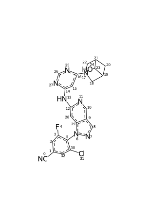 N#Cc1cc(F)c(-n2ncc3cnc(Nc4cc(N5CC6CC(C5)C6O)ncn4)cc32)c(Cl)c1